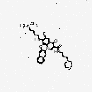 CN(C)CCCCNc1c(F)cc2c(=O)c(C(=O)NCCCN3CCOCC3)cn3c2c1Oc1cc2ccccc2cc1-3